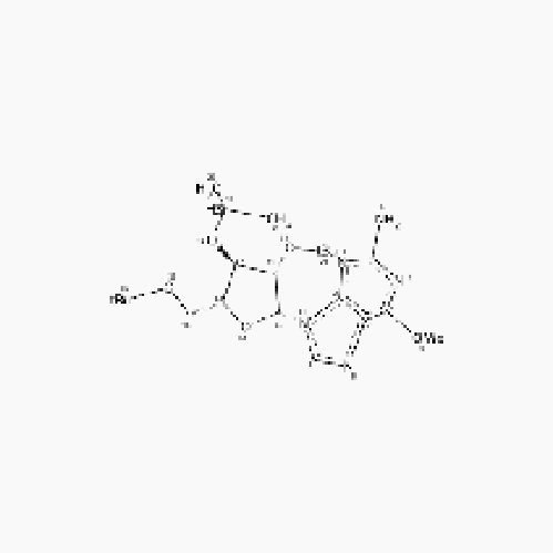 COc1nc(N)nc2c1ncn2[C@@H]1O[C@H](COC(C)(C)C)[C@@H](O[SiH](C)C)[C@@H]1OC(C)(C)C